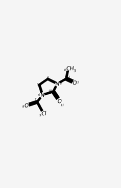 CC(=O)N1CCN(C(=O)Cl)C1=O